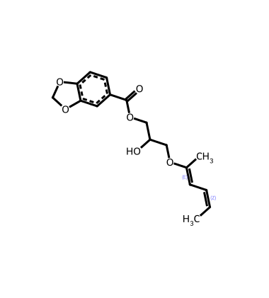 C/C=C\C=C(/C)OCC(O)COC(=O)c1ccc2c(c1)OCO2